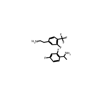 CC(N)c1ccc(F)cc1F.NCCc1ccc(C(F)(F)F)c(F)c1